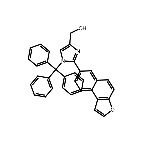 OCc1cn(C(c2ccccc2)(c2ccccc2)c2ccccc2)c(-c2ccc3c(ccc4occc43)c2)n1